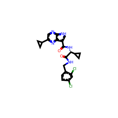 O=C(N[C@@H](C(=O)NCc1ccc(Cl)cc1Cl)C1CC1)c1c[nH]c2ncc(C3CC3)nc12